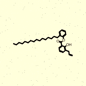 C=CCc1cccc(C(=O)Oc2ccccc2CCCCCCCCCCCCCCCC)c1O